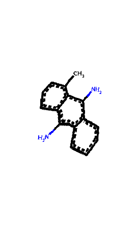 Cc1cccc2c(N)c3ccccc3c(N)c12